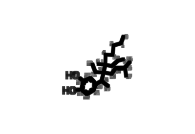 CCCCCC(C)(CCC)C(CC)(CC=C(C)C)C(C)c1ccc(O)c(O)c1